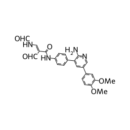 COc1ccc(-c2cnc(N)c(-c3ccc(NC(=O)/C(C=O)=C/NC=O)cc3)c2)cc1OC